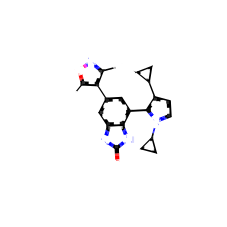 Cc1noc(C)c1-c1cc(-c2c(C3CC3)ccn2C2CC2)c2[nH]c(=O)[nH]c2c1